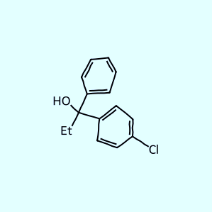 CCC(O)(c1ccccc1)c1ccc(Cl)cc1